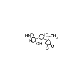 CC(O)c1cc(=O)c(O)cn1-c1cccc(-c2c(O)cnc3[nH]ccc23)c1